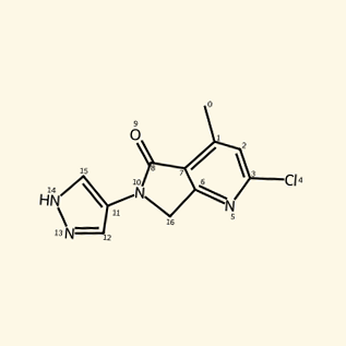 Cc1cc(Cl)nc2c1C(=O)N(c1cn[nH]c1)C2